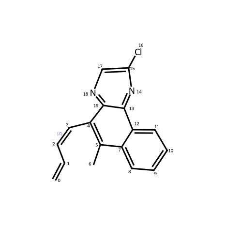 C=C/C=C\c1c(C)c2ccccc2c2nc(Cl)cnc12